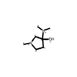 CN1CCC(O)(N(C)C)C1